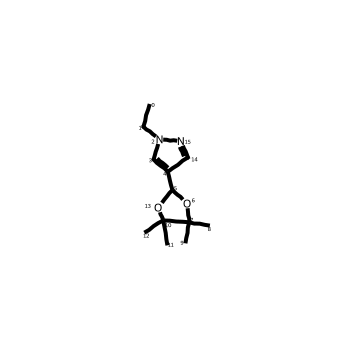 CCn1cc(C2OC(C)(C)C(C)(C)O2)cn1